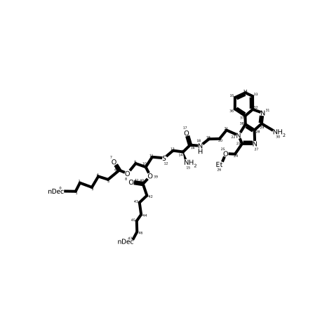 CCCCCCCCCCCCCCCC(=O)OCC(CSC[C@H](N)C(=O)NCCCn1c(COCC)nc2c(N)nc3ccccc3c21)OC(=O)CCCCCCCCCCCCCCC